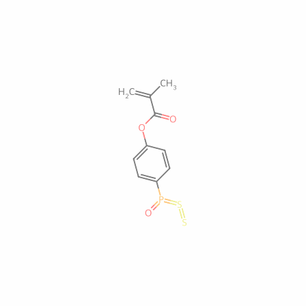 C=C(C)C(=O)Oc1ccc(P(=O)=S=S)cc1